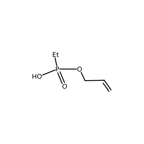 [CH2]CP(=O)(O)OCC=C